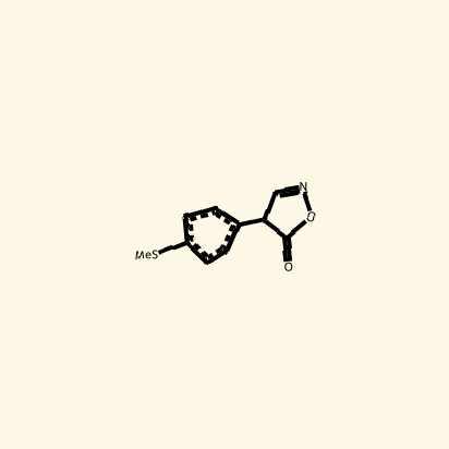 CSc1ccc(C2C=NOC2=O)cc1